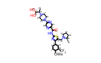 COc1ccc(-c2nc(NC(=O)c3cnc(N4CCN(C(C)C(O)O)CC4)cn3)sc2CN2CCC[C@H]2C)cc1C(F)(F)F